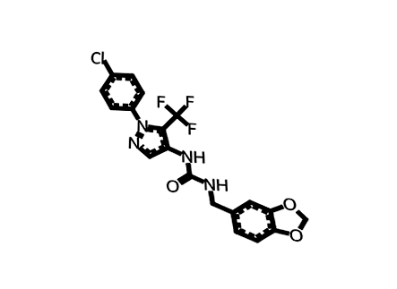 O=C(NCc1ccc2c(c1)OCO2)Nc1cnn(-c2ccc(Cl)cc2)c1C(F)(F)F